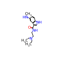 CCN(CC)CCNC(=O)c1c[nH]c2ccc(NC)cc12